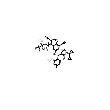 Cc1nc(F)ccc1[C@H](Nc1cc(C#N)c2ncc(C#N)c(NCC(C)(C)C(F)(F)F)c2c1)c1nnn(C2(C3CC3)CC2)c1F